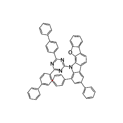 c1ccc(-c2ccc(-c3nc(-c4ccc(-c5ccccc5)cc4)nc(-n4c5c(-c6ccccc6)cc(-c6ccccc6)cc5c5ccc6c7ccccc7oc6c54)n3)cc2)cc1